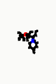 CCC(N1CCC(C)CC1)[Si](C)(C)O[Si](C)(C)C